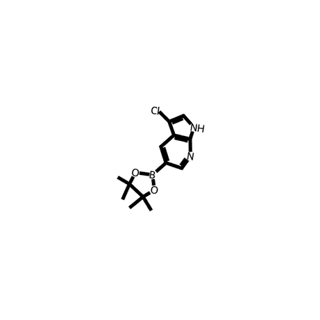 CC1(C)OB(c2cnc3[nH]cc(Cl)c3c2)OC1(C)C